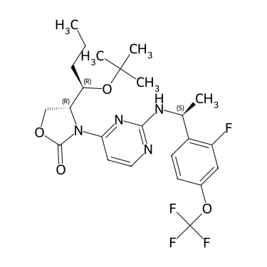 CCC[C@@H](OC(C)(C)C)[C@H]1COC(=O)N1c1ccnc(N[C@@H](C)c2ccc(OC(F)(F)F)cc2F)n1